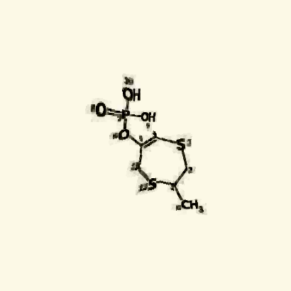 CC1CSC=C(OP(=O)(O)O)CS1